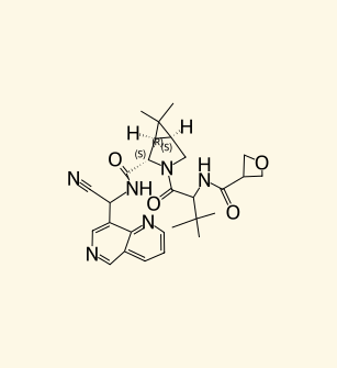 CC(C)(C)C(NC(=O)C1COC1)C(=O)N1C[C@H]2[C@@H]([C@H]1C(=O)NC(C#N)c1cncc3cccnc13)C2(C)C